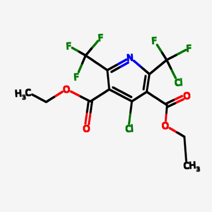 CCOC(=O)c1c(C(F)(F)F)nc(C(F)(F)Cl)c(C(=O)OCC)c1Cl